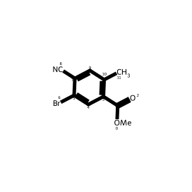 COC(=O)c1cc(Br)c(C#N)cc1C